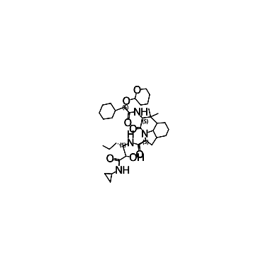 CCC[C@H](NC(=O)[C@@H]1CC2CCCC3C2N1C(=O)[C@@H](NC(=O)[C@@H](OC1CCCCO1)C1CCCCC1)C3(C)C)C(O)C(=O)NC1CC1